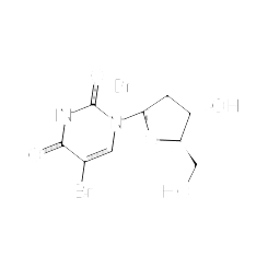 O=c1[nH]c(=O)n([C@@]2(Br)C[C@H](O)[C@@H](CO)O2)cc1Br